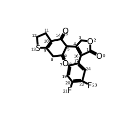 O=C1OCC(C2C(=O)CC3=C(CCS3)C2=O)=C1c1ccc(F)c(F)c1